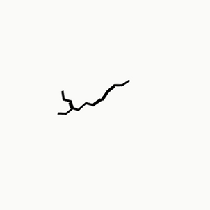 CCC=C=C=CCCC(=CCC)CC